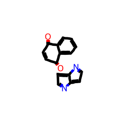 C1=NC2=CC=NC2=C1.O=C1C=CC(=O)c2ccccc21